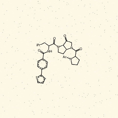 CC(=O)N1CCCC1C(=O)N1CC(=O)C2C1CCN2C(=O)C(CC(C)C)NC(=O)c1ccc(-c2cccs2)cc1